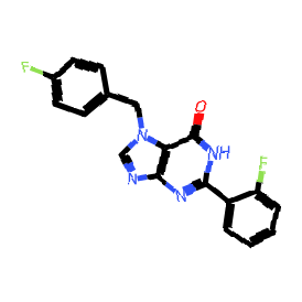 O=c1[nH]c(-c2ccccc2F)nc2ncn(Cc3ccc(F)cc3)c12